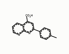 Cc1ccc(-c2cc(C(=O)O)c3cccnc3n2)cc1